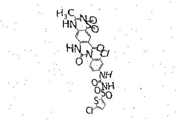 CC1=NS(=O)(=O)c2cc3c(=O)n(-c4ccc(NC(=O)NS(=O)(=O)c5ccc(Cl)s5)cc4Cl)c(=O)[nH]c3cc2N1